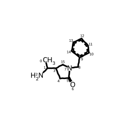 CC(N)C1CC(=O)N(Cc2ccccc2)C1